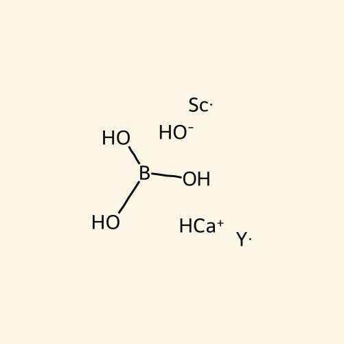 OB(O)O.[CaH+].[OH-].[Sc].[Y]